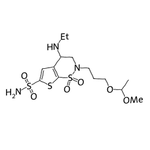 CCNC1CN(CCCOC(C)OC)S(=O)(=O)c2sc(S(N)(=O)=O)cc21